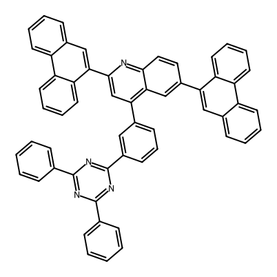 c1ccc(-c2nc(-c3ccccc3)nc(-c3cccc(-c4cc(-c5cc6ccccc6c6ccccc56)nc5ccc(-c6cc7ccccc7c7ccccc67)cc45)c3)n2)cc1